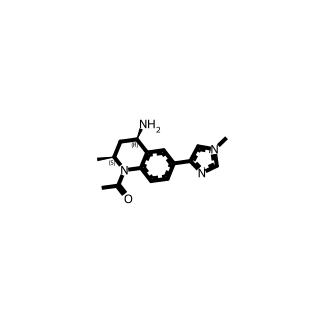 CC(=O)N1c2ccc(-c3cn(C)cn3)cc2[C@H](N)C[C@@H]1C